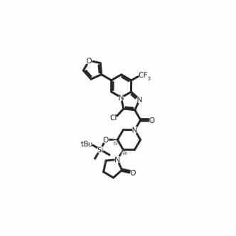 CC(C)(C)[Si](C)(C)O[C@H]1CN(C(=O)c2nc3c(C(F)(F)F)cc(-c4ccoc4)cn3c2Cl)CC[C@H]1N1CCCC1=O